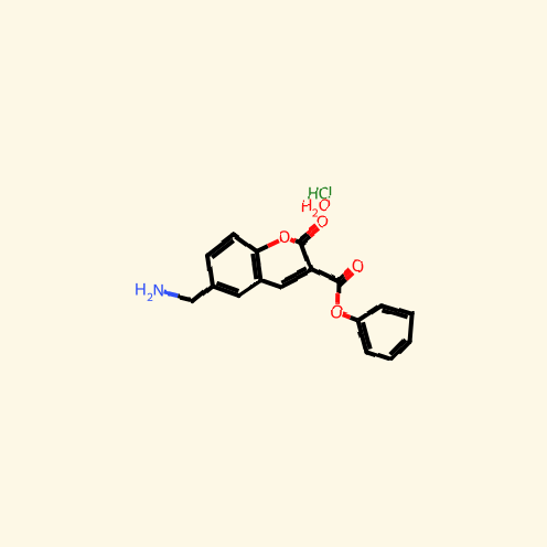 Cl.NCc1ccc2oc(=O)c(C(=O)Oc3ccccc3)cc2c1.O